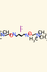 C[N+](C)(C)CCO/N=C/C=C/C=N/OCC[N+](C)(C)C.[I-].[I-]